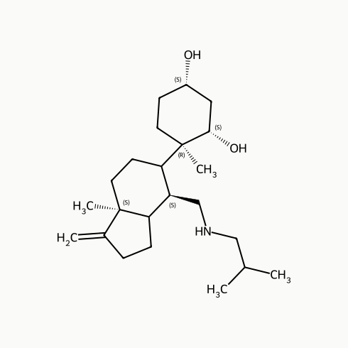 C=C1CCC2[C@H](CNCC(C)C)C([C@@]3(C)CC[C@H](O)C[C@@H]3O)CC[C@]12C